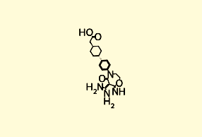 N=C1OCCN(c2ccc([C@H]3CC[C@H](CC(=O)O)CC3)cc2)C(=O)C1=C(N)N